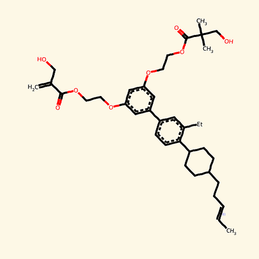 C=C(CO)C(=O)OCCOc1cc(OCCOC(=O)C(C)(C)CO)cc(-c2ccc(C3CCC(CC/C=C/C)CC3)c(CC)c2)c1